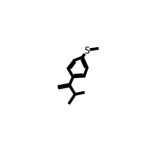 C=C(c1ccc(SC)cc1)C(C)C